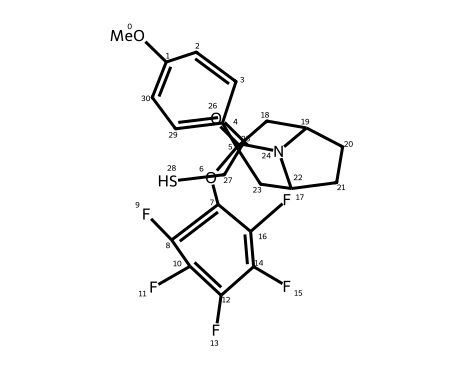 COc1ccc(C2(Oc3c(F)c(F)c(F)c(F)c3F)CC3CCC(C2)N3C(=O)CS)cc1